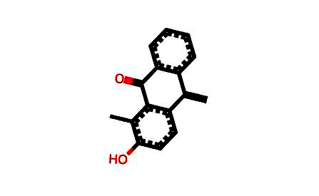 C=C1c2ccccc2C(=O)c2c1ccc(O)c2C